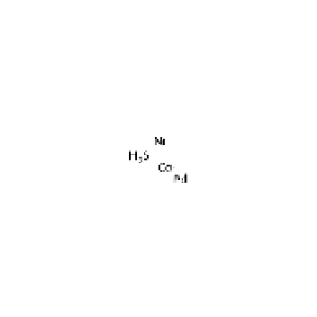 S.[Co].[Ni].[Pd]